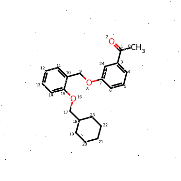 CC(=O)c1cccc(OCc2ccccc2OCC2CCCCC2)c1